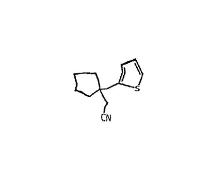 N#CCC1(c2cccs2)CCCC1